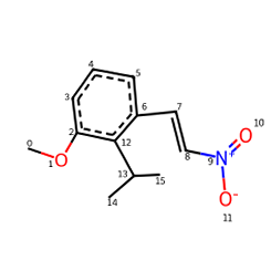 COc1cccc(C=C[N+](=O)[O-])c1C(C)C